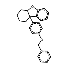 c1ccc(COc2ccc(C34CCCCC3Oc3ccccc34)cc2)cc1